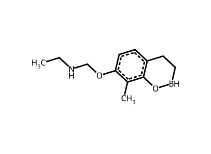 CCNCOc1ccc2c(c1C)OBCC2